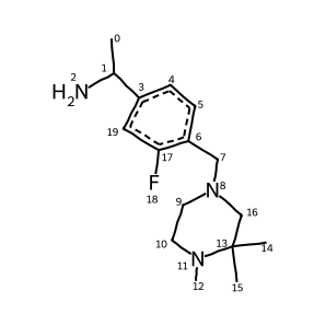 CC(N)c1ccc(CN2CCN(C)C(C)(C)C2)c(F)c1